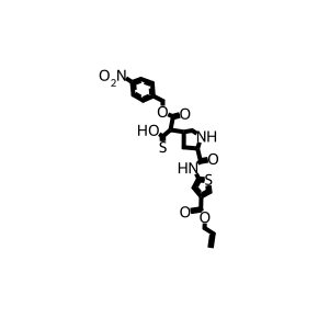 C=CCOC(=O)c1csc(NC(=O)C2CC(C(C(=O)OCc3ccc([N+](=O)[O-])cc3)C(O)=S)CN2)c1